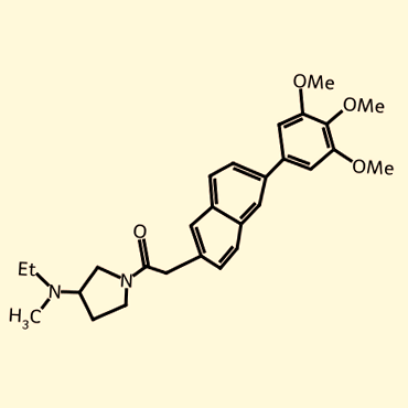 CCN(C)C1CCN(C(=O)Cc2ccc3cc(-c4cc(OC)c(OC)c(OC)c4)ccc3c2)C1